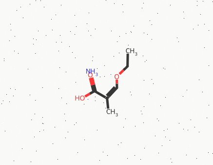 CCOC=C(C)C(=O)O.N